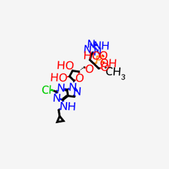 COCC(Cc1nn[nH]n1)(OC[C@@H]1O[C@H](n2ncc3c(NCC4CC4)nc(Cl)nc32)[C@@H](O)[C@H]1O)P(=O)(O)O